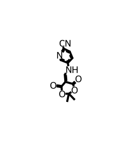 CC1(C)OC(=O)C(=CNc2ccc(C#N)nc2)C(=O)O1